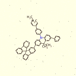 C/C=C(\C=C/CC)c1ccc(N2c3ccc(-c4ccccc4)cc3C(C)(C)c3cc(-c4ccc5c(c4)C4(c6ccccc6-c6ccccc64)c4ccccc4-5)ccc32)cc1